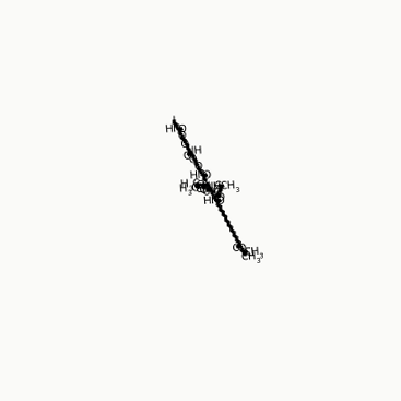 CC(C)COC(=O)CCCCCCCCCCCCCCCCC(=O)N[C@@H](CCC(=O)N[C@@H](CCC(=O)NCCOCCOCC(=O)NCCOCCOCC(=O)NCCI)C(=O)OC(C)(C)C)C(=O)OCC(C)C